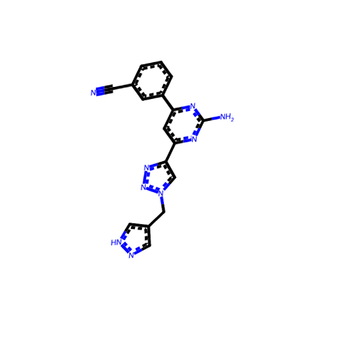 N#Cc1cccc(-c2cc(-c3cn(Cc4cn[nH]c4)nn3)nc(N)n2)c1